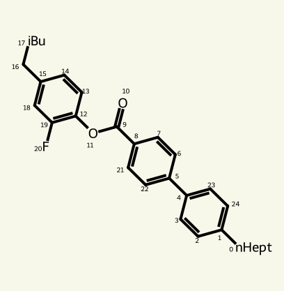 CCCCCCCc1ccc(-c2ccc(C(=O)Oc3ccc(CC(C)CC)cc3F)cc2)cc1